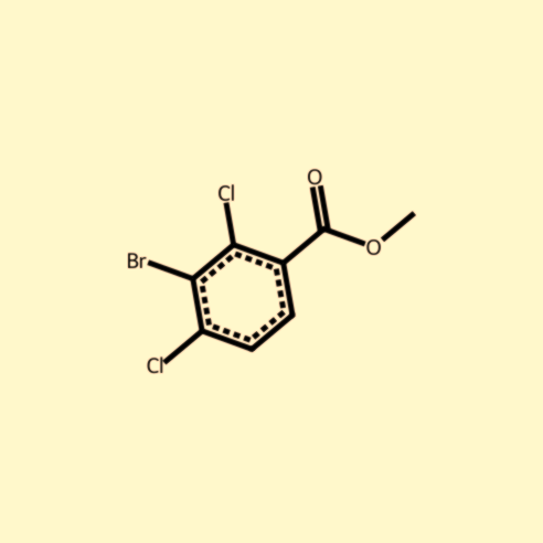 COC(=O)c1ccc(Cl)c(Br)c1Cl